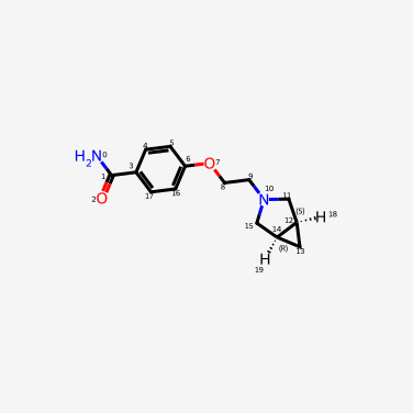 NC(=O)c1ccc(OCCN2C[C@H]3C[C@H]3C2)cc1